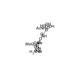 COC[C@H]1O[C@@H](n2cnc3c(=O)[nH]c(N)nc32)[C@H](OCOCCOCCNC(=O)CCCCO[C@@H]2O[C@H](CO)[C@H](O)[C@H](O)[C@H]2NC(C)=O)[C@@H]1OC